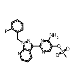 CS(=O)(=O)Oc1cnc(-c2nn(Cc3ccccc3F)c3ncccc23)nc1N